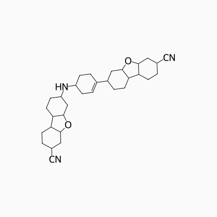 N#CC1CCC2C(C1)OC1CC(NC3CC=C(C4CCC5C(C4)OC4CC(C#N)CCC45)CC3)CCC12